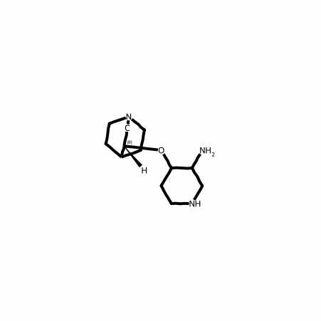 NC1CNCCC1O[C@H]1CN2CCC1CC2